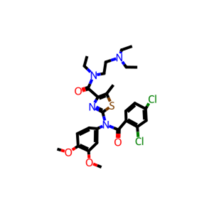 CCN(CC)CCN(CC)C(=O)c1nc(N(C(=O)c2ccc(Cl)cc2Cl)c2ccc(OC)c(OC)c2)sc1C